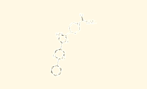 CNC(=O)N1CCC(c2nc(-c3cnc(-c4ccccc4)nc3)c[nH]2)CC1